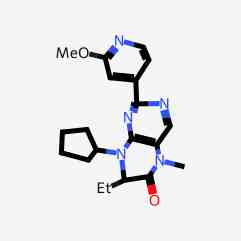 CCC1C(=O)N(C)c2cnc(-c3ccnc(OC)c3)nc2N1C1CCCC1